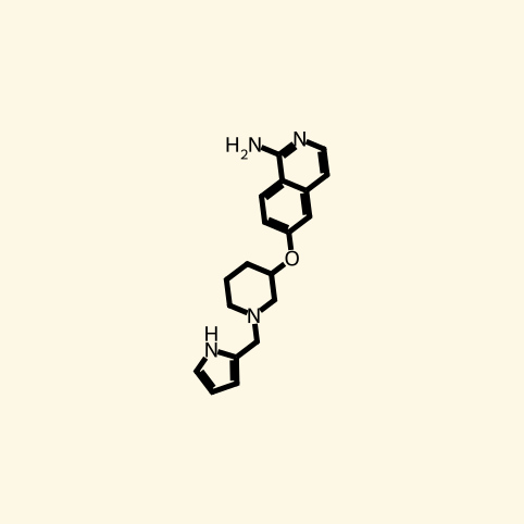 Nc1nccc2cc(OC3CCCN(Cc4ccc[nH]4)C3)ccc12